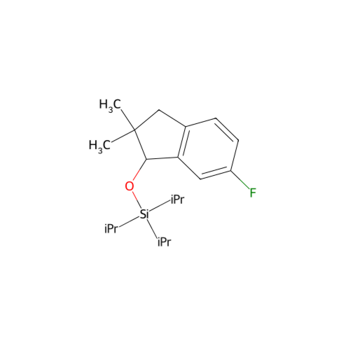 CC(C)[Si](OC1c2cc(F)ccc2CC1(C)C)(C(C)C)C(C)C